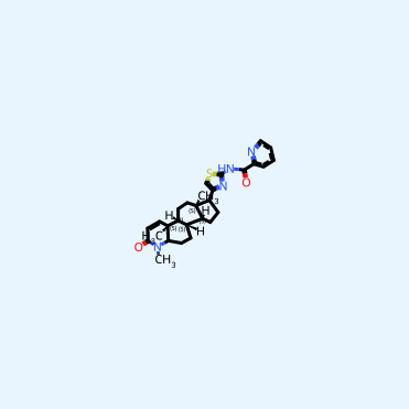 CN1C(=O)C=C[C@@]2(C)C1CC[C@@H]1[C@H]2CC[C@]2(C)C(c3csc(NC(=O)c4ccccn4)n3)CC[C@@H]12